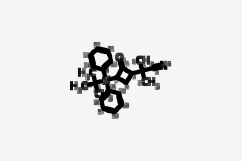 CC(C)(C#N)C1CC([Si](c2ccccc2)(c2ccccc2)C(C)(C)C)C1=O